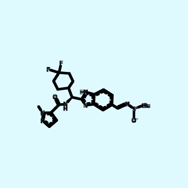 Cn1nccc1C(=O)N[C@H](c1nc2cc(/C=N/[S+]([O-])C(C)(C)C)ccc2[nH]1)C1CCC(F)(F)CC1